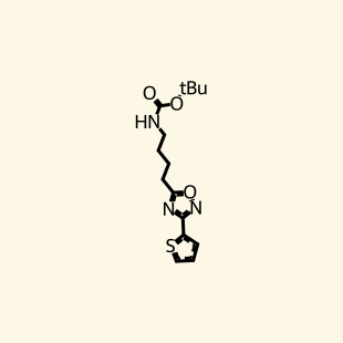 CC(C)(C)OC(=O)NCCCCc1nc(-c2cccs2)no1